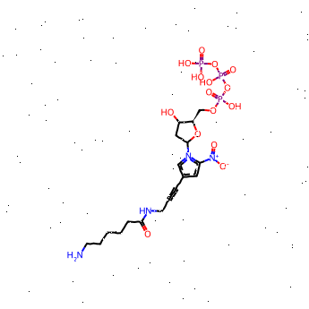 NCCCCCC(=O)NCC#Cc1cc([N+](=O)[O-])n(C2CC(O)[C@@H](COP(=O)(O)OP(=O)(O)OP(=O)(O)O)O2)c1